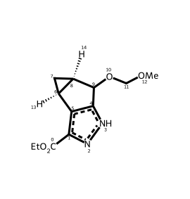 CCOC(=O)c1n[nH]c2c1[C@H]1C[C@H]1C2OCOC